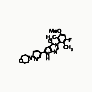 COc1cc(F)c(C)c(-n2cnc3[nH]c(-c4ccc(N5CCOCC5)nc4)cc3c2=O)c1C